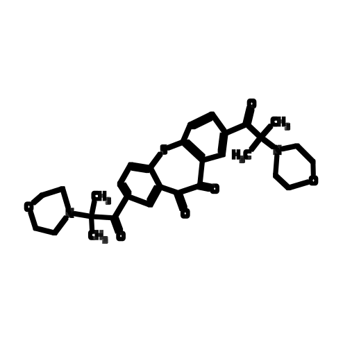 CC(C)(C(=O)c1ccc2sc3ccc(C(=O)C(C)(C)N4CCOCC4)cc3c(=O)c(=O)c2c1)N1CCOCC1